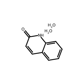 O.O.O=c1ccc2ccccc2[nH]1